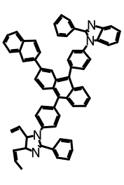 C=CC1C(/C=C\C)N=C(c2ccccc2)N1c1ccc(-c2c3ccccc3c(-c3ccc(-n4c(-c5ccccc5)nc5ccccc54)cc3)c3cc(-c4ccc5ccccc5c4)ccc23)cc1